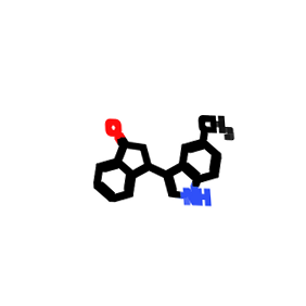 Cc1ccc2[nH]cc(C3CC(=O)c4ccccc43)c2c1